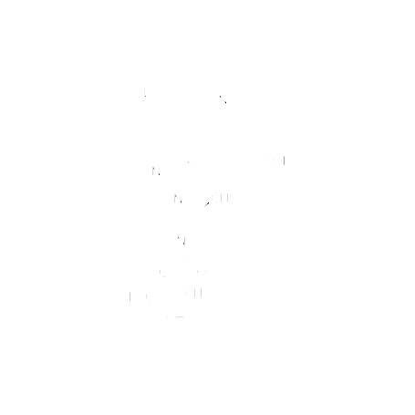 C[C@H]1CN(C(=O)OC(C)(C)C)CCN1c1nc2cc(Cl)cc(-c3ncc(CO)s3)c2o1